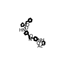 CC(=O)N1CCC[C@H]1C(=O)Nc1ccc(-c2ncc(-c3ccc(NC(=O)[C@@H]4CCCN4C(=O)Cc4ccccc4)cc3)o2)cc1